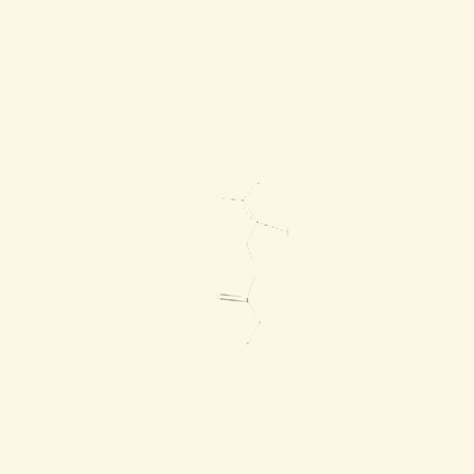 O=C(CCl)OCC(I)=C(I)I